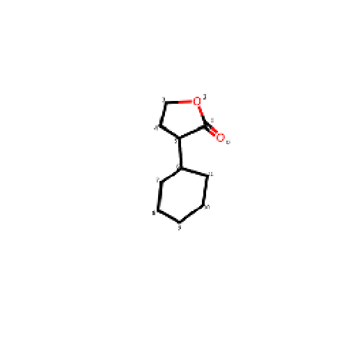 O=C1OCCC1C1CCCCC1